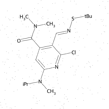 CC(C)N(C)c1cc(C(=O)N(C)C)c(/C=N/SC(C)(C)C)c(Cl)n1